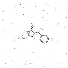 C[C@H](c1ccccc1)N1C[C@H](CO)NC1=O